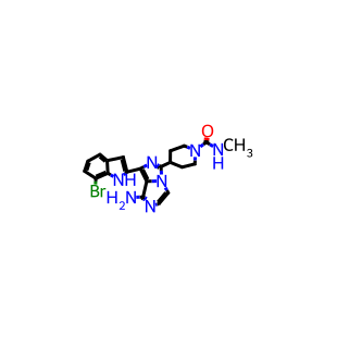 CNC(=O)N1CCC(c2nc(-c3cc4cccc(Br)c4[nH]3)c3c(N)nccn23)CC1